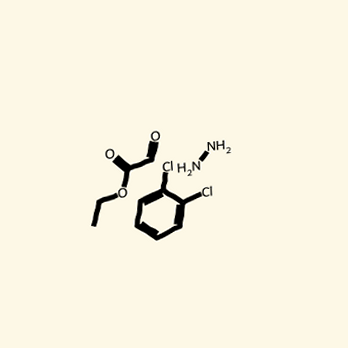 CCOC(=O)C=O.Clc1ccccc1Cl.NN